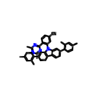 Cc1ccc(-c2ccc3c4ccc(-c5ccc(C)cc5C)cc4n(-c4cc(C#N)ccc4-c4nc(C)nc(C)n4)c3c2)c(C)c1